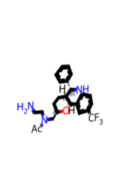 CC(=O)N(CCN)C[C@H]1CC[C@@H]2[C@H](O1)c1cc(C(F)(F)F)ccc1N[C@H]2c1ccccc1